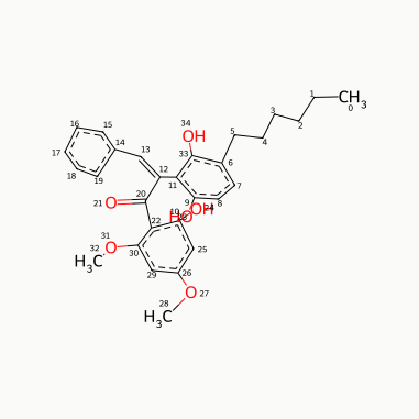 CCCCCCc1ccc(O)c(C(=Cc2ccccc2)C(=O)c2c(O)cc(OC)cc2OC)c1O